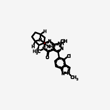 Cl.Cn1cc2c(Cl)c(-c3n[nH]c4nc(N5[C@@H]6CC[C@H]5[C@H](F)[C@@H](N)C6)n(C)c(=O)c34)ccc2n1